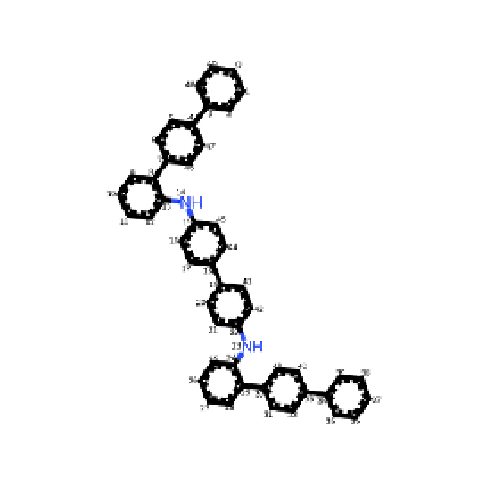 c1ccc(-c2ccc(-c3ccccc3Nc3ccc(-c4ccc(Nc5ccccc5-c5ccc(-c6ccccc6)cc5)cc4)cc3)cc2)cc1